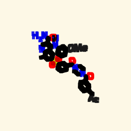 COc1cccc(Nc2c(C(N)=O)cnc3c(C)cc(S(=O)(=O)c4cccc(C(=O)N5CCN(C(=O)c6cccc(CC(C)=O)c6)CC5)c4)cc23)c1